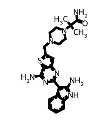 CC(C)(C(N)=O)N1CCN(Cc2cc3nc(-c4c(N)[nH]c5ccccc45)nc(N)c3s2)CC1